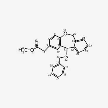 COC(=O)Cc1ccc2c(c1)C(SCc1ccccc1)c1ccccc1CO2